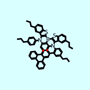 CCCc1ccc(N2c3cccc4c3B(c3sc5ccc(CCC)cc5c32)c2sc3ccc(CCC)cc3c2N4c2ccc(CCC)cc2-c2ccc3c4ccccc4c4ccccc4c3c2)cc1